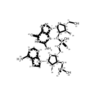 Nc1nc2c(nnn2[C@@H]2S[C@H](CO)[C@@H](F)[C@H]2OP(O)(=S)OC[C@H]2O[C@@H](n3cnc4c(N)ncnc43)[C@@H](F)[C@@H]2O[PH](O)=S)c(=O)[nH]1